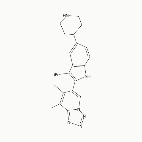 Cc1c(-c2[nH]c3ccc(C4CCNCC4)cc3c2C(C)C)cn2nnnc2c1C